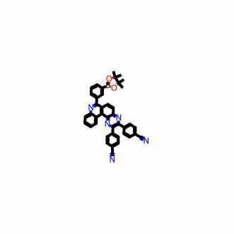 CC1(C)OB(c2cccc(-c3nc4ccccc4c4c3ccc3nc(-c5ccc(C#N)cc5)c(-c5ccc(C#N)cc5)nc34)c2)OC1(C)C